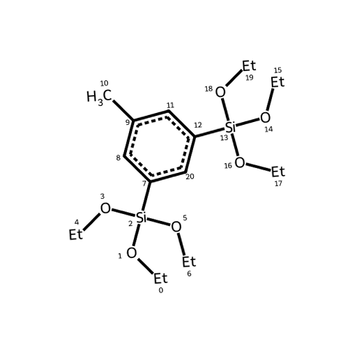 CCO[Si](OCC)(OCC)c1cc(C)cc([Si](OCC)(OCC)OCC)c1